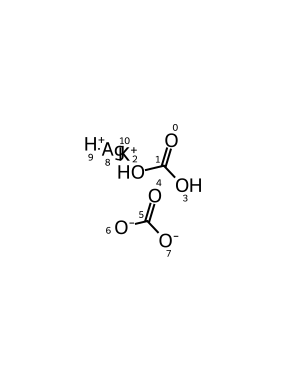 O=C(O)O.O=C([O-])[O-].[Ag].[H+].[K+]